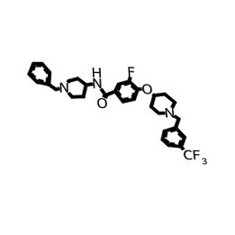 O=C(NC1CCN(Cc2ccccc2)CC1)c1ccc(OC2CCN(Cc3cccc(C(F)(F)F)c3)CC2)c(F)c1